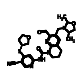 CC1COC(C)N1Cc1cc2c(nc1C=O)N(C(=O)Nc1cc(S[C@@H]3CCOC3)c(C#N)cn1)CCC2